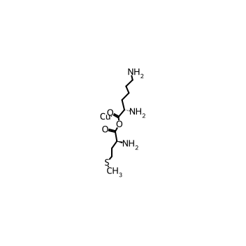 CSCC[C@H](N)C(=O)OC(=O)[C@@H](N)CCCCN.[Cu]